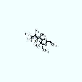 C=CC1O[C@@H](CC)C(C)(C)[C@H]([C@@H](C)/C(C)=C(\C)[C@H](C)O)O1